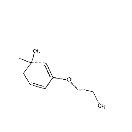 CC1(O)C=C(OCCO)C=CC1